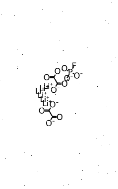 O=C([O-])C(=O)[O-].O=C([O-])C(=O)[O-].O=P([O-])([O-])F.[Li+].[Li+].[Li+].[Li+].[Li+].[Li+]